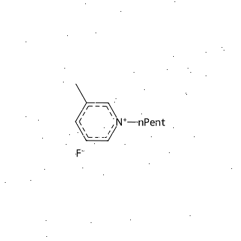 CCCCC[n+]1cccc(C)c1.[F-]